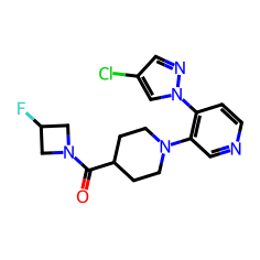 O=C(C1CCN(c2cnccc2-n2cc(Cl)cn2)CC1)N1CC(F)C1